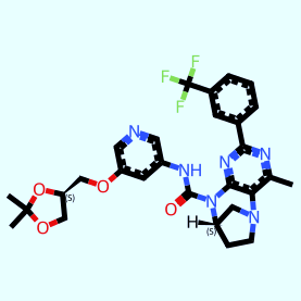 Cc1nc(-c2cccc(C(F)(F)F)c2)nc2c1N1CC[C@@H](C1)N2C(=O)Nc1cncc(OC[C@H]2COC(C)(C)O2)c1